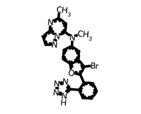 Cc1cc(N(C)c2ccc3oc(-c4ccccc4-c4nnn[nH]4)c(Br)c3c2)n2nccc2n1